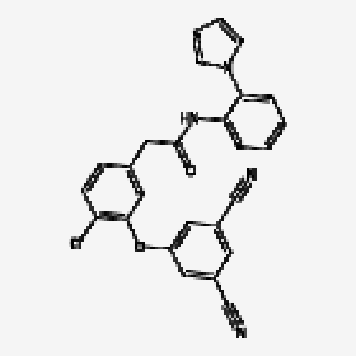 N#Cc1cc(C#N)cc(Oc2cc(CC(=O)Nc3ccccc3-n3cccc3)ccc2Cl)c1